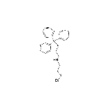 CCSCCNCCSC(c1ccccc1)(c1ccccc1)c1ccccc1